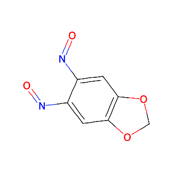 O=Nc1cc2c(cc1N=O)OCO2